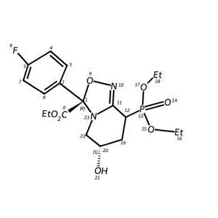 CCOC(=O)[C@@]1(c2ccc(F)cc2)ON=C2C(P(=O)(OCC)OCC)C[C@H](O)CN21